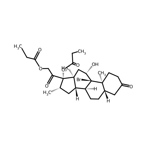 CCC(=O)OCC(=O)[C@]1(OC(=O)CC)[C@@H](C)C[C@H]2[C@@H]3CC[C@H]4CC(=O)CC[C@]4(C)[C@@]3(Br)[C@@H](O)C[C@@]21C